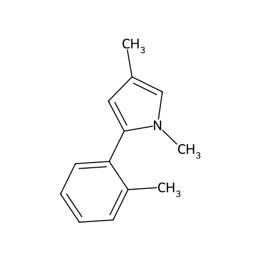 Cc1cc(-c2ccccc2C)n(C)c1